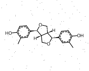 Cc1cc([C@H]2OC[C@H]3[C@@H]2CO[C@@H]3c2ccc(O)c(C)c2)ccc1O